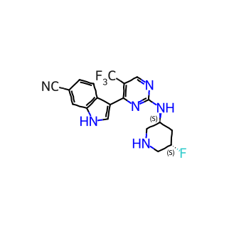 N#Cc1ccc2c(-c3nc(N[C@@H]4CNC[C@@H](F)C4)ncc3C(F)(F)F)c[nH]c2c1